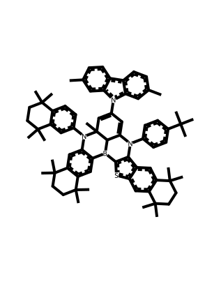 Cc1ccc2c3ccc(C)cc3n(C3=CC4(C)C5B(c6cc7c(cc6N4c4ccc6c(c4)C(C)(C)CCC6(C)C)C(C)(C)CCC7(C)C)c4sc6cc7c(cc6c4N(c4ccc(C(C)(C)C)cc4)C5=C3)C(C)(C)CCC7(C)C)c2c1